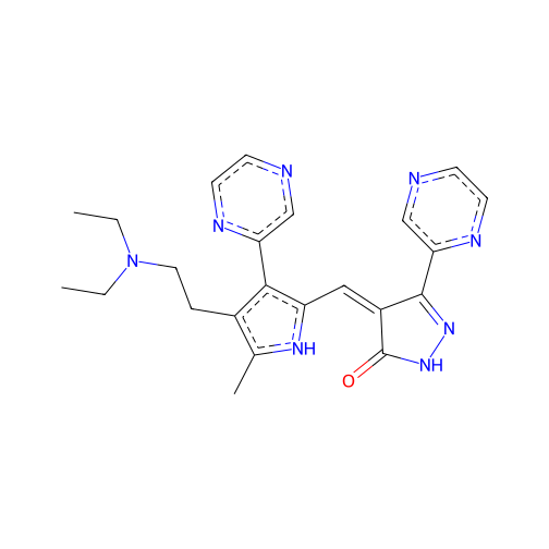 CCN(CC)CCc1c(C)[nH]c(C=C2C(=O)NN=C2c2cnccn2)c1-c1cnccn1